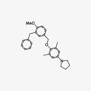 COc1ccc(COc2c(C)cc(N3CCCC3)cc2C)cc1Cc1ccccc1